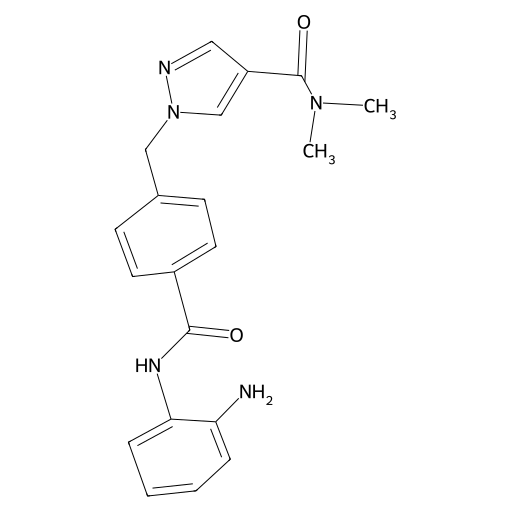 CN(C)C(=O)c1cnn(Cc2ccc(C(=O)Nc3ccccc3N)cc2)c1